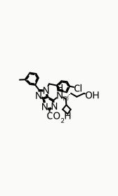 Cc1cccc(-c2nc3nc(C(=O)O)nc(N[C@H](CCCO)C4CCC4)c3n2Cc2ccc(Cl)cc2)c1